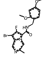 COc1ccc(CNC(=O)c2c(F)c(Br)c3cnc(C)cn23)c(OC)c1